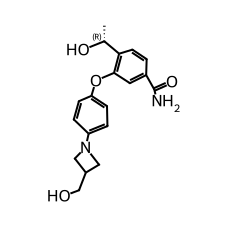 C[C@@H](O)c1ccc(C(N)=O)cc1Oc1ccc(N2CC(CO)C2)cc1